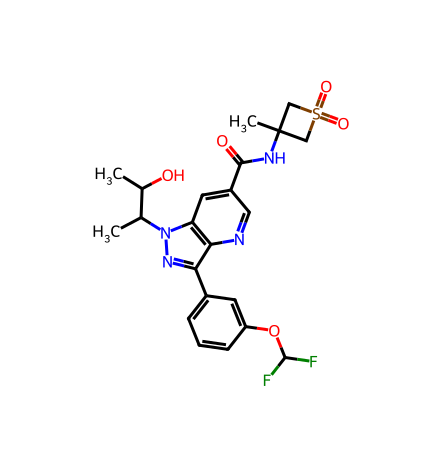 CC(O)C(C)n1nc(-c2cccc(OC(F)F)c2)c2ncc(C(=O)NC3(C)CS(=O)(=O)C3)cc21